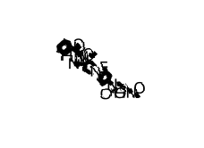 CCON(NC(=O)c1ccccc1)C1(C#N)CCN(c2ccc(N3C[C@H](CNC(C)=O)OC3=O)cc2F)CC1